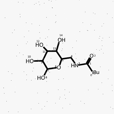 CCC(C)C(=O)NCC1OC(O)C(O)C(O)C1O